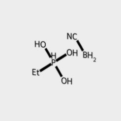 BC#N.CC[PH](O)(O)O